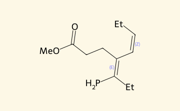 CC/C=C\C(CCC(=O)OC)=C(\P)CC